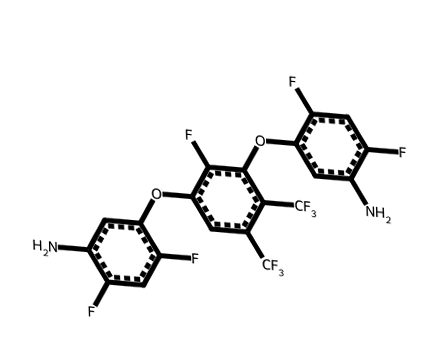 Nc1cc(Oc2cc(C(F)(F)F)c(C(F)(F)F)c(Oc3cc(N)c(F)cc3F)c2F)c(F)cc1F